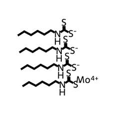 CCCCCCNC(=S)[S-].CCCCCCNC(=S)[S-].CCCCCCNC(=S)[S-].CCCCCCNC(=S)[S-].[Mo+4]